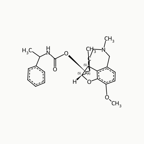 COc1ccc2c3c1O[C@H]1C[C@@H](OC(=O)NC(C)c4ccccc4)C(C)[C@@]31CCN(C)C2